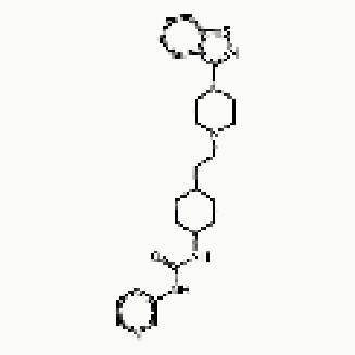 O=C(Nc1cccnc1)NC1CCC(CCN2CCN(c3nsc4ccccc34)CC2)CC1